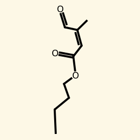 CCCCOC(=O)C=C(C)C=O